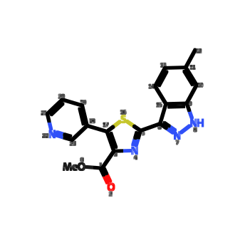 COC(=O)c1nc(-c2n[nH]c3cc(C)ccc23)sc1-c1cccnc1